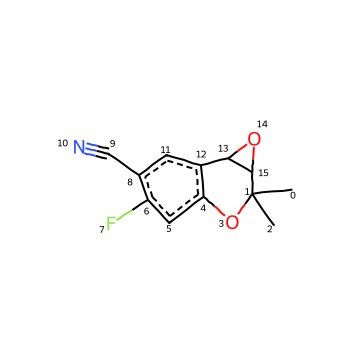 CC1(C)Oc2cc(F)c(C#N)cc2C2OC21